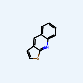 c1ccc2nc3sccc3cc2c1